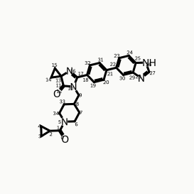 O=C(C1CC1)N1CCC(CN2C(=O)C3(CC3)N=C2c2ccc(-c3ccc4[nH]cnc4c3)cc2)CC1